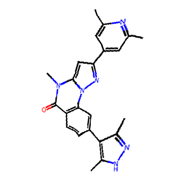 Cc1cc(-c2cc3n(C)c(=O)c4ccc(-c5c(C)n[nH]c5C)cc4n3n2)cc(C)n1